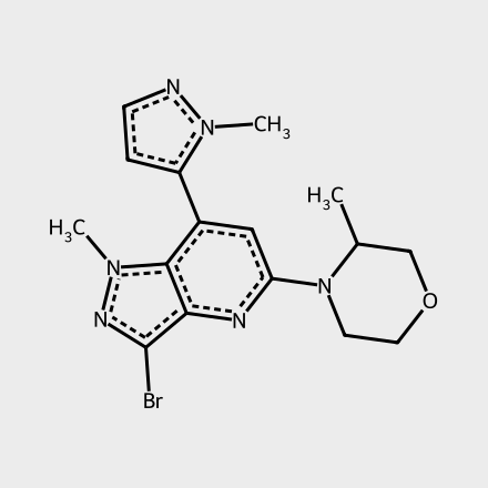 CC1COCCN1c1cc(-c2ccnn2C)c2c(n1)c(Br)nn2C